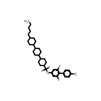 CCCCCC1CCC(C2CCC(C3CCC(C(F)(F)Oc4cc(F)c(-c5ccc(Cl)cc5)c(F)c4)CC3)CC2)CC1